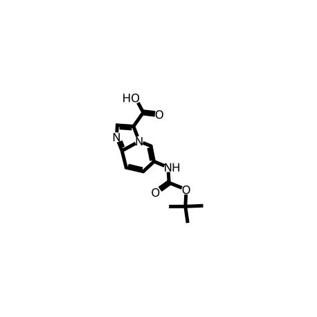 CC(C)(C)OC(=O)Nc1ccc2ncc(C(=O)O)n2c1